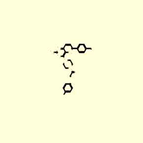 Nc1nc(N2CCN(C(=O)COc3ccc(Cl)cc3)CC2)c2nc(-c3ccc(CO)cc3)ccc2n1